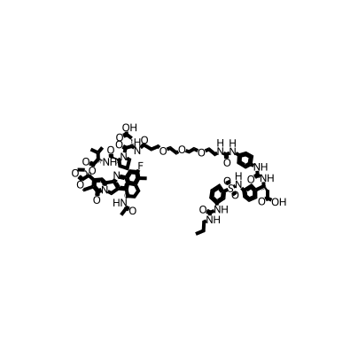 CCCNC(=O)Nc1cccc(S(=O)(=O)Nc2cccc([C@H](CC(=O)O)NC(=O)Nc3ccc(NC(=O)NCCOCCOCCOCCC(=O)N[C@@H](CC(=O)O)C(=O)N4CCC[C@H]4C(=O)N[C@H](C(=O)O[C@]4(CC)C(=O)OCc5c4cc4n(c5=O)Cc5c-4nc4cc(F)c(C)c6c4c5[C@@H](NC(C)=O)CC6)C(C)C)cc3)c2)c1